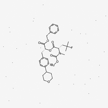 CN(C(=O)OC(C)(C)C)[C@@H](CC(C)(C)F)C(=O)O[C@H](Cc1ccc(C2CCOCC2)cc1)C(=O)OCc1ccccc1